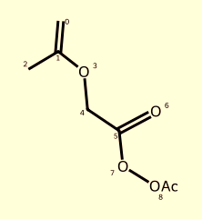 C=C(C)OCC(=O)OOC(C)=O